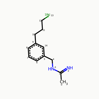 CC(=N)NCc1cccc(CCC[18F])c1